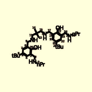 CCCNCc1cc(C(C)(C)C)cc(CNCC(C)(C)CNCc2cc(C(C)(C)C)cc(CNCCC)c2O)c1O